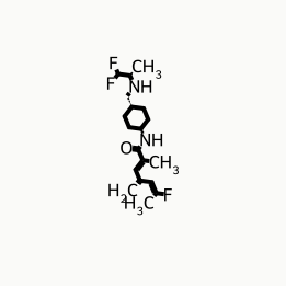 C=C(/C=C(\C)F)/C=C(\C)C(=O)N[C@H]1CC[C@H](CN[C@@H](C)C(F)F)CC1